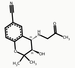 CC(=O)CN[C@H]1c2cc(C#N)ccc2OC(C)(C)[C@@H]1O